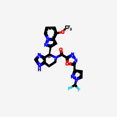 O=C(c1nnc(-c2ccn(C(F)F)n2)o1)N1CCc2[nH]cnc2[C@H]1c1cc2c(OC(F)(F)F)cccn2n1